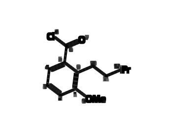 COc1cccc(C(=O)Cl)c1CCC(C)C